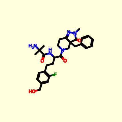 CN1N=C2CCN(C(=O)C(CCc3ccc(CO)cc3F)NC(=O)C(C)(C)N)CC2(Cc2ccccc2)C1=O